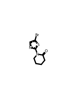 O=C1CCCCN1c1ncc(Br)s1